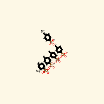 Cc1ccc(S(=O)(=O)[O-])cc1.Cc1ccc(S(=O)(=O)[O-])cc1.Cc1ccc(S(=O)(=O)[O-])cc1.Cc1ccc(S(=O)(=O)[O-])cc1.Cc1ccc(S(=O)(=O)[O-])cc1.[Al+3].[Mg+2]